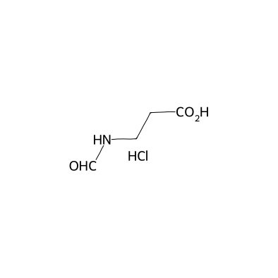 Cl.O=CNCCC(=O)O